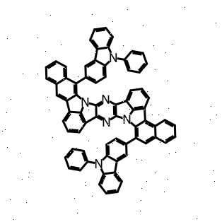 c1ccc(-n2c3ccccc3c3cc(-c4c5ccccc5cc5c6cccc7c8nc9c(nc8n(c45)c67)c4cccc5c6c7ccccc7cc(-c7ccc8c(c7)c7ccccc7n8-c7ccccc7)c6n9c45)ccc32)cc1